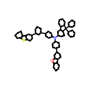 c1ccc(C2(c3ccccc3)c3ccccc3-c3cc(N(c4ccc(-c5cccc(-c6ccc7sc8ccccc8c7c6)c5)cc4)c4ccc(-c5ccc6c(c5)oc5ccccc56)cc4)ccc32)cc1